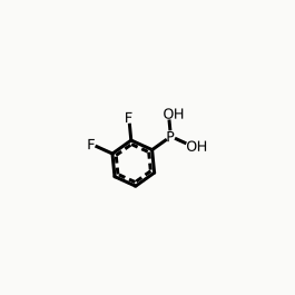 OP(O)c1cccc(F)c1F